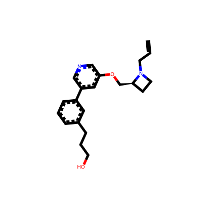 C=CCN1CC[C@H]1COc1cncc(-c2cccc(CCCO)c2)c1